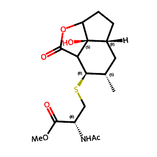 COC(=O)[C@H](CS[C@H]1C2C(=O)OC3CC[C@H](C[C@@H]1C)[C@@]32O)NC(C)=O